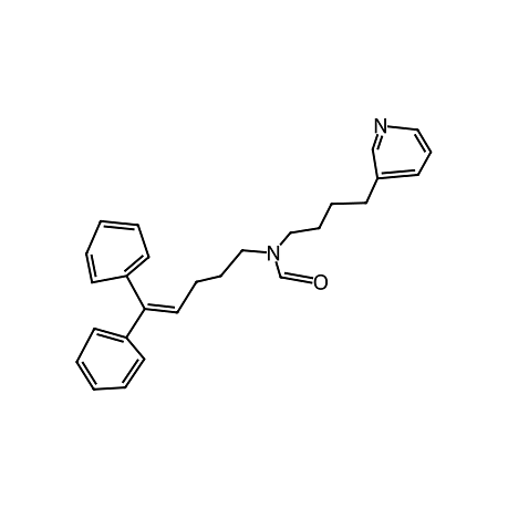 O=CN(CCCC=C(c1ccccc1)c1ccccc1)CCCCc1cccnc1